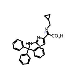 O=C(O)/C(=N\CC1CC1)c1csc(NC(c2ccccc2)(c2ccccc2)c2ccccc2)n1